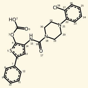 O=C(O)Oc1sc(-c2ccccc2)cc1NC(=O)N1CCN(c2ccccc2Cl)CC1